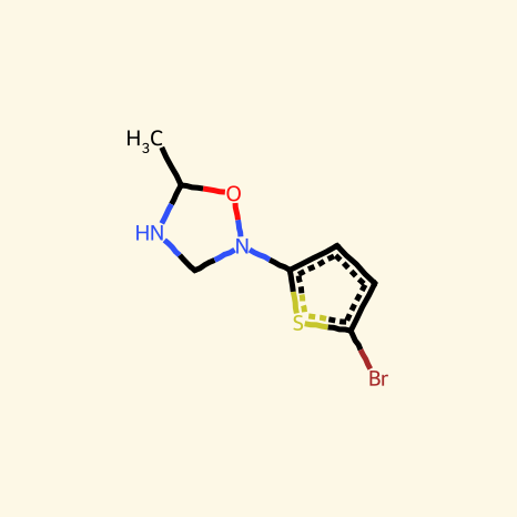 CC1NCN(c2ccc(Br)s2)O1